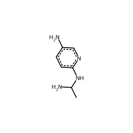 CC(N)Nc1ccc(N)cn1